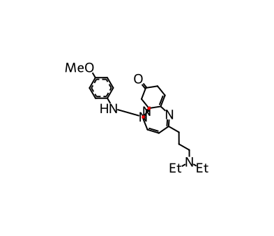 CCN(CC)CCCC1=NC2=CCC(=O)CC23N=CN(Nc2ccc(OC)cc2)C=C3C=C1